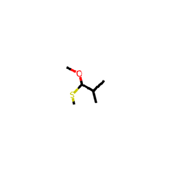 COC(SC)C(C)C